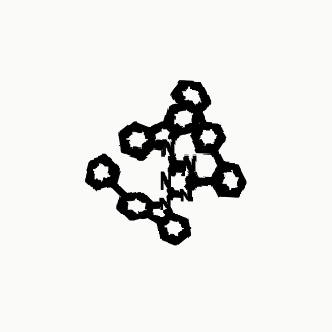 c1ccc(-c2ccc(-c3ccccc3-c3nc(-n4c5ccccc5c5ccccc54)nc(-n4c5ccccc5c5ccc(-c6ccccc6)cc54)n3)cc2)cc1